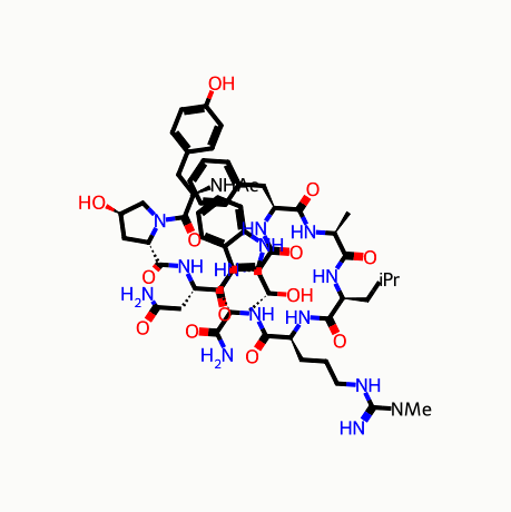 CNC(=N)NCCC[C@H](NC(=O)[C@H](CC(C)C)NC(=O)[C@H](C)NC(=O)[C@H](Cc1ccccc1)NC(=O)[C@@H](NC(=O)[C@H](CC(N)=O)NC(=O)[C@@H]1C[C@@H](O)CN1C(=O)[C@@H](Cc1ccc(O)cc1)NC(C)=O)[C@@H](C)O)C(=O)N[C@@H](Cc1c[nH]c2ccccc12)C(N)=O